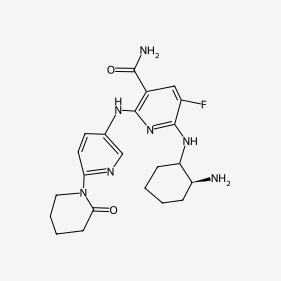 NC(=O)c1cc(F)c(NC2CCCC[C@@H]2N)nc1Nc1ccc(N2CCCCC2=O)nc1